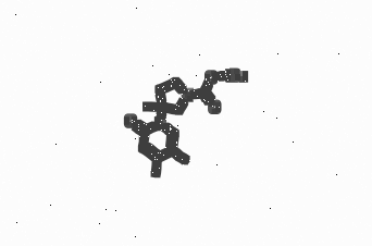 Cc1cc(=O)n(C2(C)CCN(C(=O)OC(C)(C)C)C2)cc1C